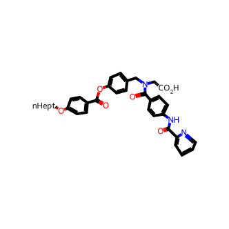 CCCCCCCOc1ccc(C(=O)Oc2ccc(CN(CC(=O)O)C(=O)c3ccc(NC(=O)c4ccccn4)cc3)cc2)cc1